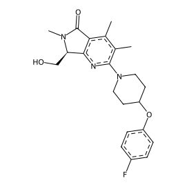 Cc1c(N2CCC(Oc3ccc(F)cc3)CC2)nc2c(c1C)C(=O)N(C)[C@@H]2CO